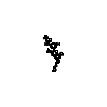 COCCCOc1cc(CN(C(=O)[C@@H]2CNC[C@H](NC(=O)CC(C)(C)C)C2)C2CC2)cc(OC)c1